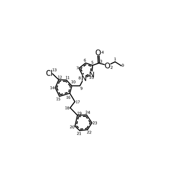 CCOC(=O)c1ccn(Cc2cc(Cl)ccc2CCc2ccccc2)n1